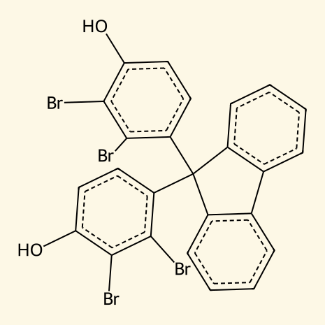 Oc1ccc(C2(c3ccc(O)c(Br)c3Br)c3ccccc3-c3ccccc32)c(Br)c1Br